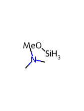 CN(C)C.CO[SiH3]